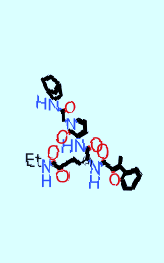 CCNC(=O)C(=O)CC[C@H](NC(=O)c1oc2ccccc2c1C)C(=O)Nc1cccn(CC(=O)NC2CC3CCC2C3)c1=O